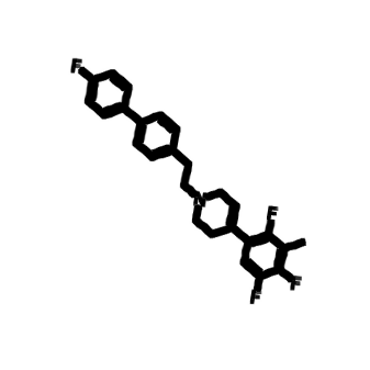 Cc1c(F)c(F)cc(C2=CCN(CCc3ccc(-c4ccc(F)cc4)cc3)CC2)c1F